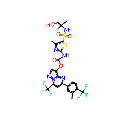 Cc1cc(-c2cc(C(F)(F)F)n3ncc(OC(=O)Nc4nc(C)c(S(=O)(=O)NC(C)(C)CO)s4)c3n2)ccc1C(F)(F)F